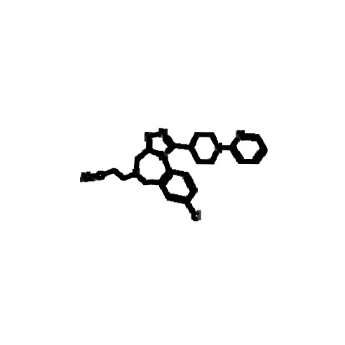 COCCN1Cc2cc(Cl)ccc2-n2c(nnc2C2CCN(c3ccccn3)CC2)C1